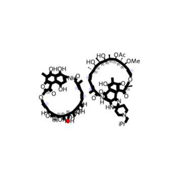 CO[C@H]1/C=C\O[C@@]2(C)Oc3c(C)c(O)c4c(O)c(cc(O)c4c3C2=O)NC(=O)/C(C)=C\C=C/[C@H](C)[C@H](O)[C@@H](C)[C@@H](O)[C@@H](C)[C@H](OC(C)=O)[C@@H]1C.CO[C@H]1/C=C\O[C@@]2(C)Oc3c(C)c(O)c4c(c3C2=O)C2=NC3(CCN(CC(C)C)CC3)NC2=C(NC(=O)/C(C)=C\C=C/[C@H](C)[C@H](O)[C@@H](C)[C@@H](O)[C@@H](C)[C@H](OC(C)=O)[C@@H]1C)C4=O